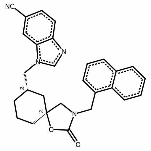 N#Cc1ccc2ncn(C[C@H]3CCC[C@]4(C3)CN(Cc3cccc5ccccc35)C(=O)O4)c2c1